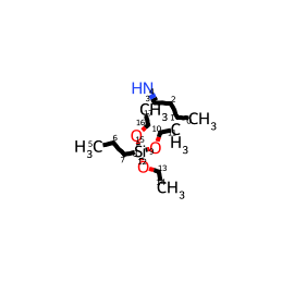 CCCC=N.CCC[Si](OCC)(OCC)OCC